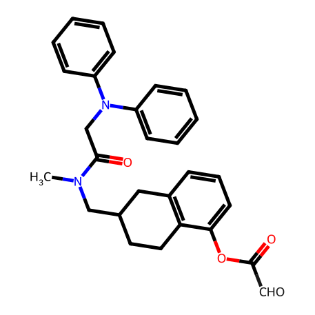 CN(CC1CCc2c(cccc2OC(=O)C=O)C1)C(=O)CN(c1ccccc1)c1ccccc1